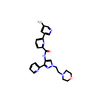 Cc1cncc(-c2cccc(C(=O)Nc3cn(CCN4CCOCC4)nc3-c3ccccn3)n2)c1